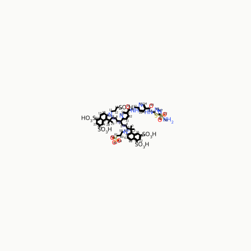 CC1(C)C(/C=C/C(=C/C=C2/N(CCCS(=O)(=O)O)c3ccc4c(S(=O)(=O)O)cc(S(=O)(=O)O)cc4c3C2(C)C)c2ccc(C(=O)NCc3ccc(C(=O)Nc4nnc(S(N)(=O)=O)s4)cn3)cn2)=[N+](CCCS(=O)(=O)[O-])c2ccc3c(S(=O)(=O)O)cc(S(=O)(=O)O)cc3c21